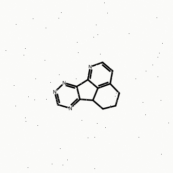 c1cc2c3c(n1)-c1nncnc1C3CCC2